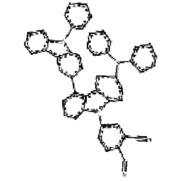 N#Cc1ccc(-n2c3ccc(N(c4ccccc4)c4ccccc4)cc3c3c(-c4ccc5c(c4)c4ccccc4n5-c4ccccc4)cccc32)cc1C#N